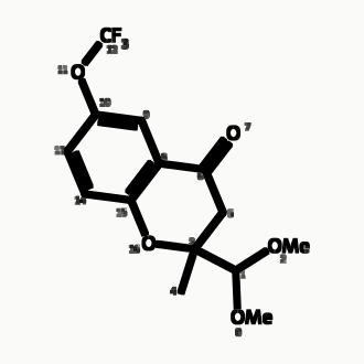 COC(OC)C1(C)CC(=O)c2cc(OC(F)(F)F)ccc2O1